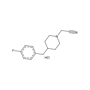 Cl.N#CCN1CCC(Cc2ccc(F)cc2)CC1